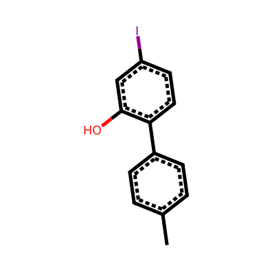 Cc1ccc(-c2ccc(I)cc2O)cc1